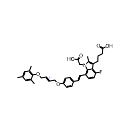 Cc1cc(C)c(OC/C=C/COc2ccc(C=Cc3ccc(F)c4c(CCCC(=O)O)c(C)n(CC(=O)O)c34)cc2)c(C)c1